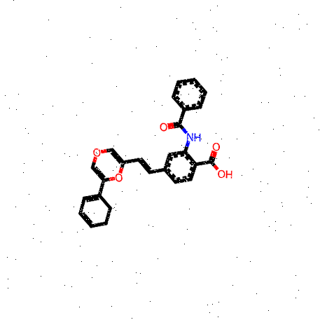 O=C(Nc1cc(C=CC2=COC=C(C3=CC=CCC3)O2)ccc1C(=O)O)c1ccccc1